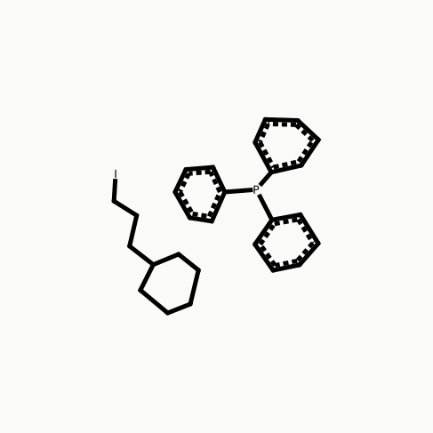 ICCCC1CCCCC1.c1ccc(P(c2ccccc2)c2ccccc2)cc1